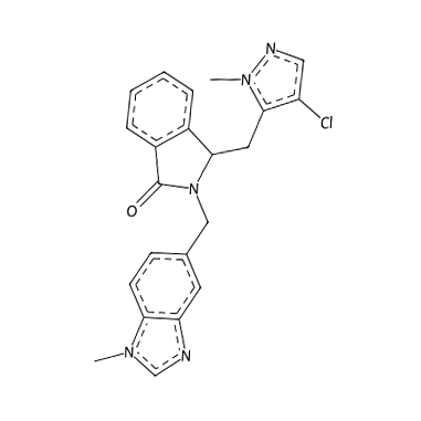 Cn1ncc(Cl)c1CC1c2ccccc2C(=O)N1Cc1ccc2c(c1)ncn2C